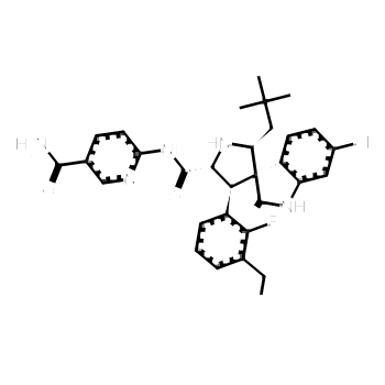 CC(C)(C)C[C@@H]1N[C@@H](C(=O)Nc2ccc(C(N)=O)cn2)[C@H](c2cccc(CI)c2F)[C@]12C(=O)Nc1cc(Cl)ccc12